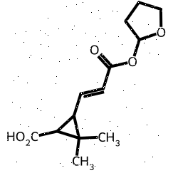 CC1(C)C(C=CC(=O)OC2CCCO2)C1C(=O)O